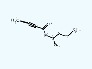 CC#CC(=O)N[C@H](C)CCC